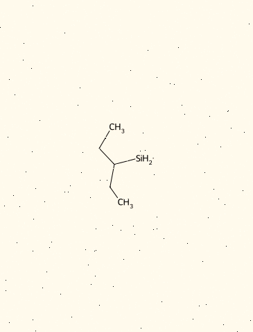 CCC([SiH2])CC